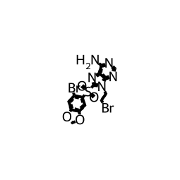 Nc1ncnc2c1nc(S(=O)(=O)c1cc3c(cc1Br)OCO3)n2CCBr